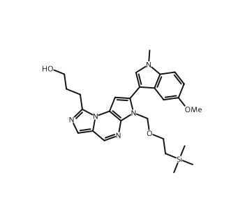 COc1ccc2c(c1)c(-c1cc3c(ncc4cnc(CCCO)n43)n1COCC[Si](C)(C)C)cn2C